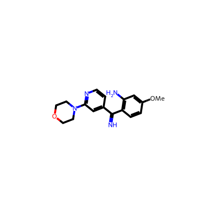 COc1ccc(C(=N)c2ccnc(N3CCOCC3)c2)c(N)c1